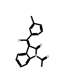 CC(=O)N1C(=O)/C(=C(/Cl)c2cccc(C)c2)c2ccccc21